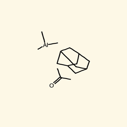 C1C2CC3CC1CC(C2)C3.CC(C)=O.[CH3][Al]([CH3])[CH3]